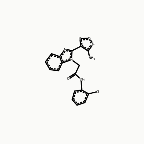 Nc1nonc1-c1nc2ccccc2n1CC(=O)Nc1ccccc1Cl